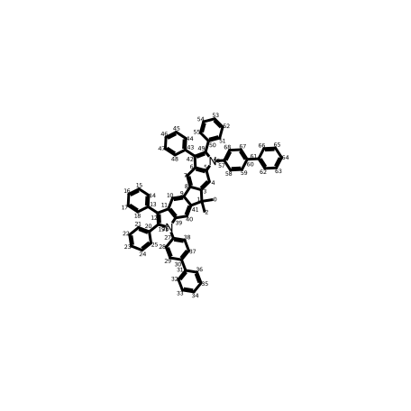 CC1(C)c2cc3c(cc2-c2cc4c(-c5ccccc5)c(-c5ccccc5)n(-c5ccc(-c6ccccc6)cc5)c4cc21)c(-c1ccccc1)c(-c1ccccc1)n3-c1ccc(-c2ccccc2)cc1